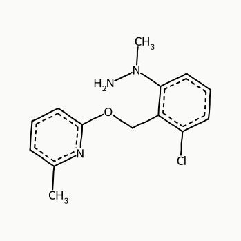 Cc1cccc(OCc2c(Cl)cccc2N(C)N)n1